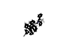 NC(CC(/C=C/n1c2ccccc2c2c3c4ccccc4c4c(c5ccccc5n4-c4ccccc4)c3c3ccccc3c21)c1ccccc1)c1ccccc1